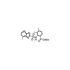 COC(=O)c1ccc(C)c(C)c1NS(=O)(=O)c1nc2nccc(C)n2n1